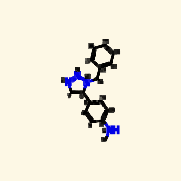 CNc1ccc(-c2cnnn2Cc2ccccc2)cc1